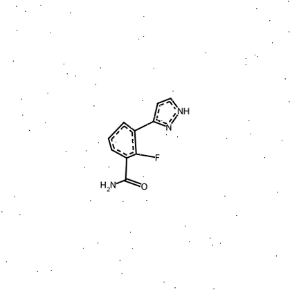 NC(=O)c1cccc(-c2cc[nH]n2)c1F